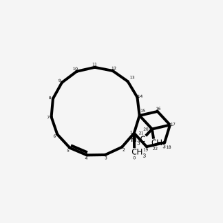 CC12CCC=CCCCCCCCCCC13CC(CC2)C3(C)C